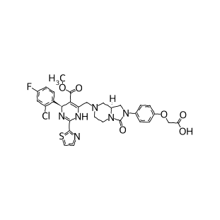 COC(=O)C1=C(CN2CCN3C(=O)N(c4ccc(OCC(=O)O)cc4)C[C@@H]3C2)NC(c2nccs2)=N[C@H]1c1ccc(F)cc1Cl